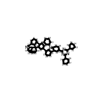 N#Cc1cccc2c1C1(c3cc(-c4cccc5c6cc(-c7nc(-c8ccccc8)nc(-c8ccccc8)n7)ccc6n(-c6ccccc6)c45)ccc3-2)C2CC3CC(C2)CC1C3